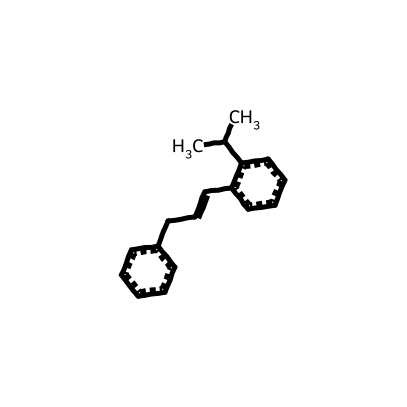 CC(C)c1ccccc1C=CCc1ccccc1